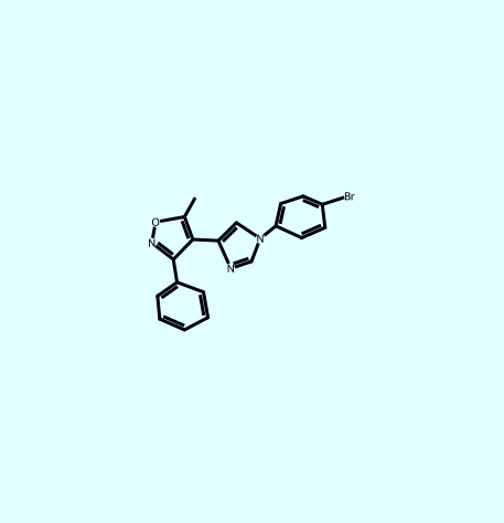 Cc1onc(-c2ccccc2)c1-c1cn(-c2ccc(Br)cc2)cn1